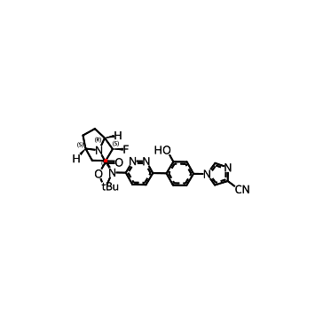 CN(c1ccc(-c2ccc(-n3cnc(C#N)c3)cc2O)nn1)[C@H]1C[C@@H]2CC[C@H]([C@H]1F)N2C(=O)OC(C)(C)C